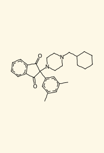 Cc1cc(C)cc(C2(N3CCN(CC4CCCCC4)CC3)C(=O)c3ccccc3C2=O)c1